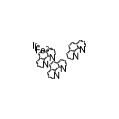 [Fe+2].[I-].[I-].c1cnc2c(c1)ccc1cccnc12.c1cnc2c(c1)ccc1cccnc12.c1cnc2c(c1)ccc1cccnc12